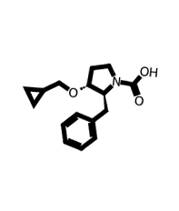 O=C(O)N1CC[C@@H](OCC2CC2)[C@@H]1Cc1ccccc1